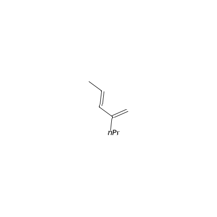 C=C(C=CC)CCC